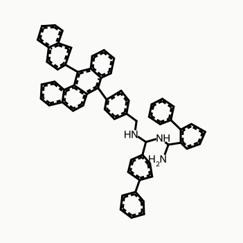 NC(NC(NCc1ccc(-c2c3ccccc3c(-c3ccc4ccccc4c3)c3c2ccc2ccccc23)cc1)c1ccc(-c2ccccc2)cc1)c1ccccc1-c1ccccc1